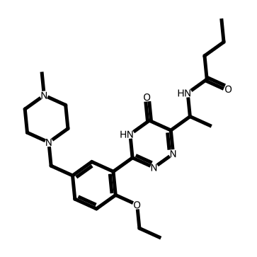 CCCC(=O)NC(C)c1nnc(-c2cc(CN3CCN(C)CC3)ccc2OCC)[nH]c1=O